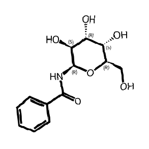 O=C(N[C@@H]1O[C@H](CO)[C@@H](O)[C@@H](O)[C@@H]1O)c1ccccc1